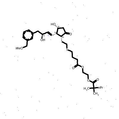 CCCC(C)(C)C(=O)OCCOC(=O)CCCSCC[C@H]1C(=O)C[C@@H](O)[C@H]1/C=C/[C@@H](O)Cc1cccc(COC)c1